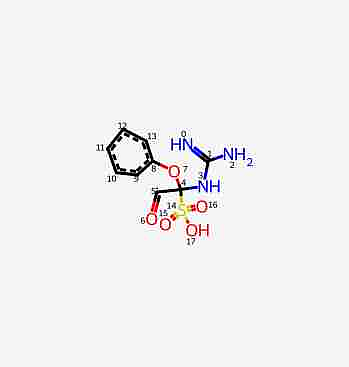 N=C(N)NC([C]=O)(Oc1ccccc1)S(=O)(=O)O